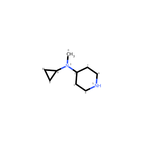 CN(C1CCNCC1)C1CC1